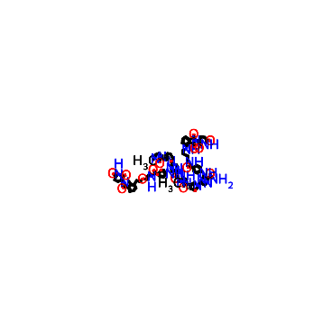 CN1CCN([C@@H]2CCCN(c3cnc(C(=O)NC4CN([C@@H]5CCCN(c6cnc(C(N)=O)c(Nc7ccc(C(=O)NCCCCNc8cccc9c8C(=O)N(C8CCC(=O)NC8=O)C9=O)cc7)n6)C5)C(=O)N4C)c(Nc4ccc(C(=O)NCCOCCc5cccc6c5CN(C5CCC(=O)NC5=O)C6=O)cc4)n3)C2)C1=O